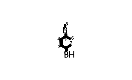 B=C(C)/C=C\C(C)=B/C